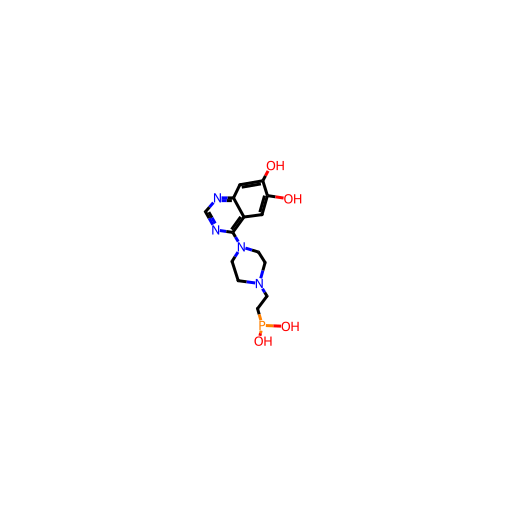 Oc1cc2ncnc(N3CCN(CCP(O)O)CC3)c2cc1O